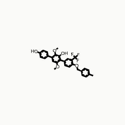 COc1cc(-c2ccc(O)cc2)c(OC)c(O)c1-c1ccc(OCc2ccc(C)cc2)c(C(F)(F)F)c1